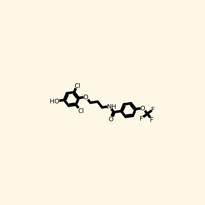 O=C(NCCCOc1c(Cl)cc(O)cc1Cl)c1ccc(OC(F)(F)F)cc1